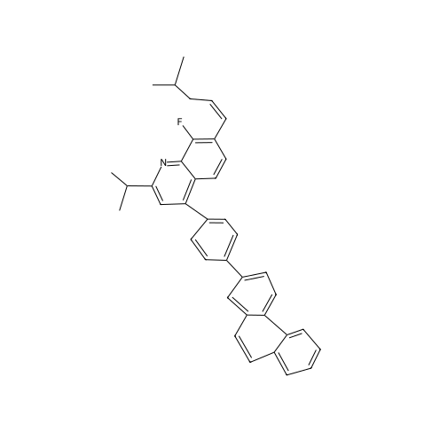 CC(C)C/C=C\c1ccc2c(-c3ccc(-c4ccc5c(ccc6ccccc65)c4)cc3)cc(C(C)C)nc2c1F